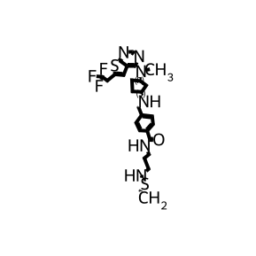 C=CSNCCCNC(=O)c1ccc(CN[C@H]2CC[C@@H](N(C)c3ncnc4sc(CC(F)(F)F)cc34)C2)cc1